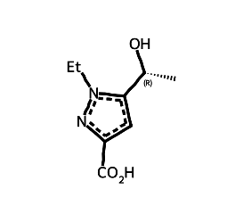 CCn1nc(C(=O)O)cc1[C@@H](C)O